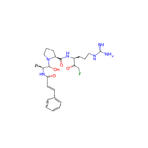 CC(C)[C@H](NC(=O)/C=C/c1ccccc1)C(O)N1CCC[C@H]1C(=O)N[C@@H](CCCNC(=N)N)C(=O)CF